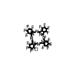 Fc1c(F)c(F)c2c(c1F)-c1nc-2nc2c3c(F)c(F)c(F)c(F)c3c(nc3nc(nc4[nH]c(n1)c1c(F)c(F)c(F)c(F)c41)-c1c(Cl)c(F)c(F)c(F)c1-3)n2F